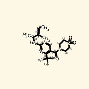 C/C=C(\C)[C@@H](C)Nc1ncc(C(=O)N2CCS(=O)(=O)CC2)c(C(F)(F)F)n1